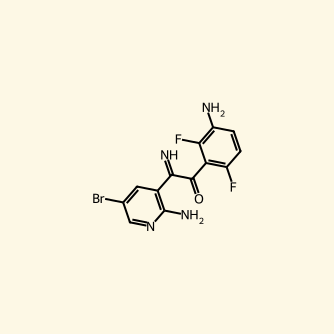 N=C(C(=O)c1c(F)ccc(N)c1F)c1cc(Br)cnc1N